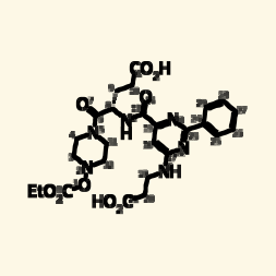 CCOC(=O)ON1CCN(C(=O)[C@H](CCC(=O)O)NC(=O)c2cc(NCCC(=O)O)nc(-c3ccccc3)n2)CC1